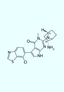 Cn1c(N2C3CC[C@H]2C[C@H]3N)nc2[nH]cc(-c3ccc4ncsc4c3Cl)c2c1=O